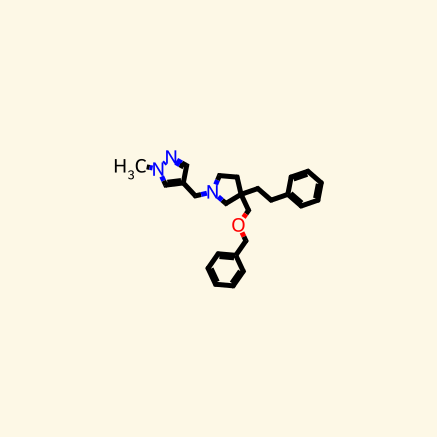 Cn1cc(CN2CCC(CCc3ccccc3)(COCc3ccccc3)C2)cn1